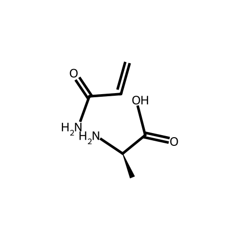 C=CC(N)=O.C[C@@H](N)C(=O)O